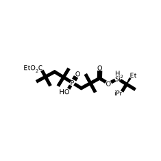 CCOC(=O)C(C)(C)CC(C)(C)P(=O)(O)CC(C)(C)C(=O)O[SiH2][C@@](C)(CC)C(C)C